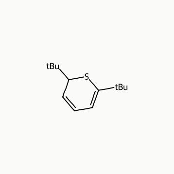 CC(C)(C)C1=CC=CC(C(C)(C)C)S1